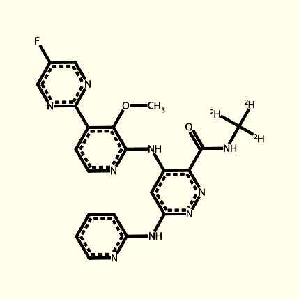 [2H]C([2H])([2H])NC(=O)c1nnc(Nc2ccccn2)cc1Nc1nccc(-c2ncc(F)cn2)c1OC